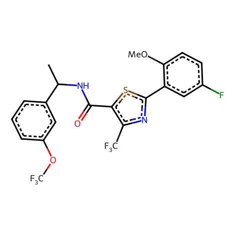 COc1ccc(F)cc1-c1nc(C(F)(F)F)c(C(=O)NC(C)c2cccc(OC(F)(F)F)c2)s1